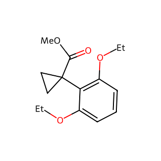 CCOc1cccc(OCC)c1C1(C(=O)OC)CC1